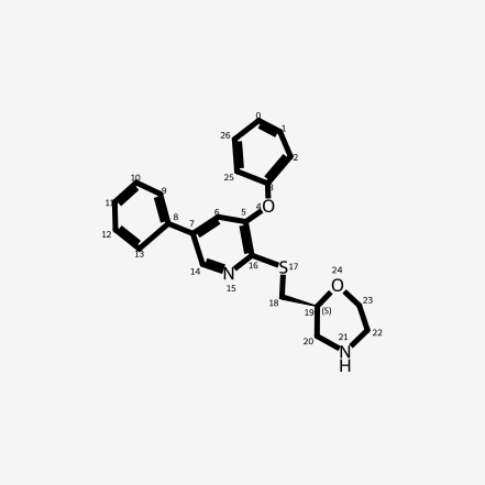 c1ccc(Oc2cc(-c3ccccc3)cnc2SC[C@@H]2CNCCO2)cc1